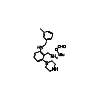 CC(C)(C)OC=O.Cc1cccc(CNc2cccc(N3CCNCC3)c2CN)c1